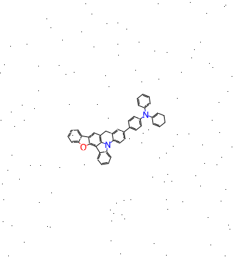 C1=CC(N(c2ccccc2)c2ccc(-c3ccc4c(c3)Cc3cc5c6ccccc6oc5c5c6ccccc6n-4c35)cc2)=CCC1